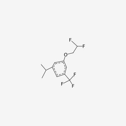 CC(C)c1cc(OCC(F)F)cc(C(F)(F)F)c1